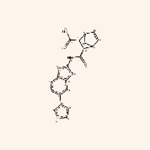 O=C(Nc1nc2ccc(-c3ccoc3)cc2s1)[C@@H]1C2C=CC(C2)[C@@H]1C(=O)O